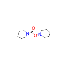 O=C(ON1CCCCC1)N1CCCCC1